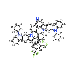 N#Cc1ccc(-n2c3ccccc3c3cc4c5ccccc5n(-c5ccccc5)c4cc32)c(-c2cc(-c3ccc(C(F)(F)F)cc3C(F)(F)F)ccc2-n2c3ccccc3c3cc4c5ccccc5n(-c5ccccc5)c4cc32)c1